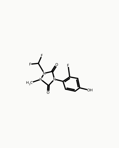 Cn1c(=O)n(-c2ccc(O)cc2F)c(=O)n1C(F)F